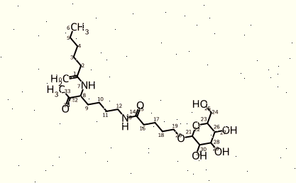 C=C(CCCCC)NC(CCCCNC(=O)CCCCOC1OC(CO)C(O)C(O)C1O)C(C)=O